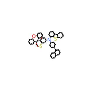 c1ccc2c(c1)Oc1ccccc1C21c2ccccc2Sc2cc(N(c3ccc(-c4cccc5ccccc45)cc3)c3cccc4c3sc3ccccc34)ccc21